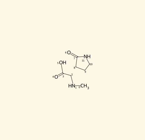 CNCC(=O)O.O=C1CCCN1